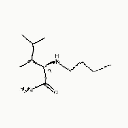 CCCCN[C@@H](C(N)=O)C(C)C(C)C